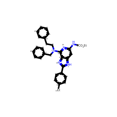 CCOC(=O)Nc1cc2[nH]c(-c3ccc(CC)cc3)nc2c(N(CCc2ccccc2)Cc2ccccc2)n1